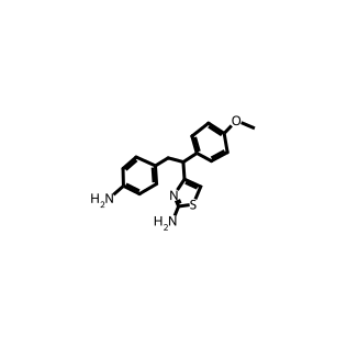 COc1ccc(C(Cc2ccc(N)cc2)c2csc(N)n2)cc1